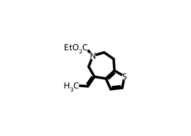 CC=C1CN(C(=O)OCC)CCc2sccc21